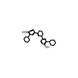 Oc1ccc(C2=CC(c3ccc(O)c(C4CCCCC4)c3)CCC2)cc1C1CCCCC1